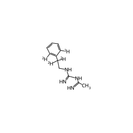 [2H]c1cccc([2H])c1C([2H])([2H])CNC(=N)NC(C)=N